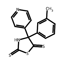 Cc1cccc(C2(c3ccncc3)NC(=S)SC2=S)c1